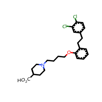 O=C(O)C1CCN(CCCCOc2ccccc2CCc2ccc(Cl)c(Cl)c2)CC1